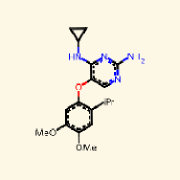 COc1cc(Oc2cnc(N)nc2NC2CC2)c(C(C)C)cc1OC